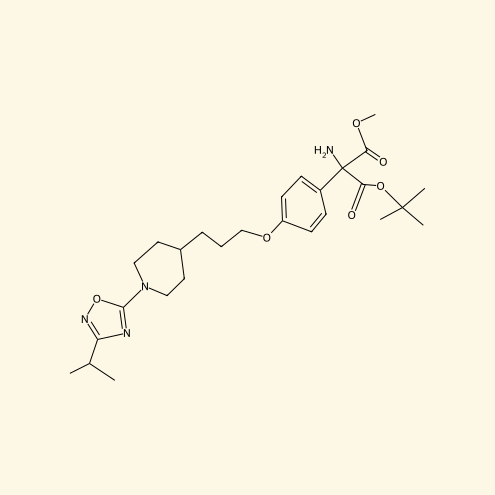 COC(=O)C(N)(C(=O)OC(C)(C)C)c1ccc(OCCCC2CCN(c3nc(C(C)C)no3)CC2)cc1